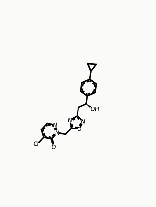 O=c1c(Cl)ccnn1Cc1nc(C[C@H](O)c2ccc(C3CC3)cc2)no1